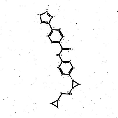 O=C(Nc1ccc([C@@H]2C[C@H]2NCC2CC2)cc1)c1ccc(-c2csnn2)cc1